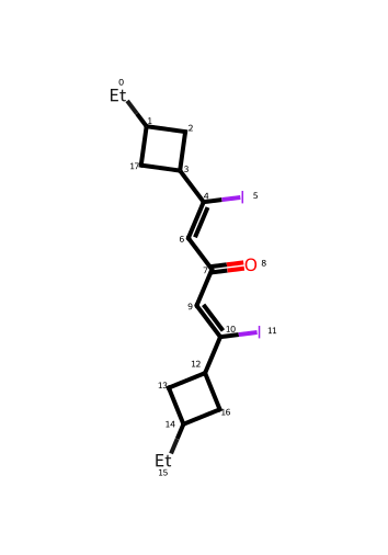 CCC1CC(C(I)=CC(=O)C=C(I)C2CC(CC)C2)C1